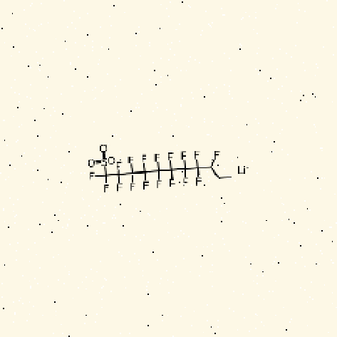 CCC(F)C(F)(F)C(F)(F)C(F)(F)C(F)(F)C(F)(F)C(F)(F)C(F)(F)C(F)(F)S(=O)(=O)[O-].[Li+]